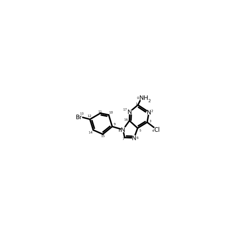 Nc1nc(Cl)c2ncn(-c3ccc(Br)cc3)c2n1